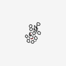 c1ccc(-c2cc(-c3ccccc3-c3cccc4c3-c3ccc5c(c3C43c4ccccc4C4(c6ccccc6-c6ccccc64)c4ccccc43)-c3ccccc3C5)nc(-c3cccc4ccccc34)n2)cc1